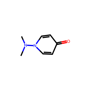 CN(C)n1ccc(=O)cc1